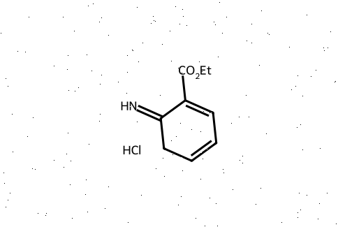 CCOC(=O)C1=CC=CCC1=N.Cl